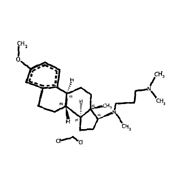 COc1ccc2c(c1)CC[C@@H]1[C@@H]2CC[C@]2(C)[C@@H](N(C)CCCN(C)C)CC[C@@H]12.ClCCl